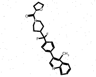 Cc1c(-c2ccc(C(F)(F)C3CCN(C(=O)[C@H]4CCCO4)CC3)cc2)cnc2ccccc12